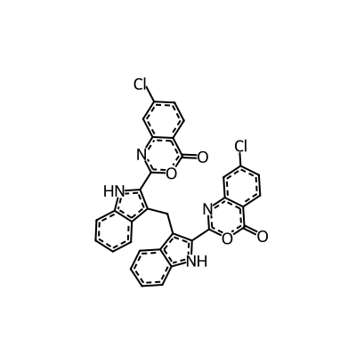 O=c1oc(-c2[nH]c3ccccc3c2Cc2c(-c3nc4cc(Cl)ccc4c(=O)o3)[nH]c3ccccc23)nc2cc(Cl)ccc12